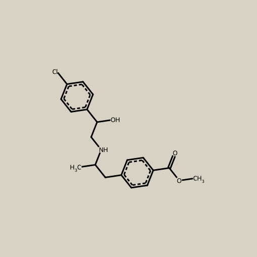 COC(=O)c1ccc(CC(C)NCC(O)c2ccc(Cl)cc2)cc1